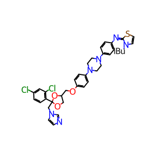 CCC(C)n1ccsc1=Nc1ccc(N2CCN(c3ccc(OCC4COC(Cn5ccnc5)(c5ccc(Cl)cc5Cl)O4)cc3)CC2)cc1